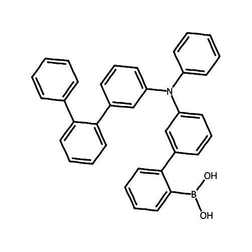 OB(O)c1ccccc1-c1cccc(N(c2ccccc2)c2cccc(-c3ccccc3-c3ccccc3)c2)c1